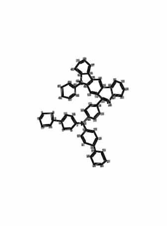 c1ccc(-c2ccc(N(c3ccc(-c4ccccc4)cc3)c3ccc(-c4nc5ccccc5c5cc6c7ccccc7n(-c7ccccc7)c6cc45)cc3)cc2)cc1